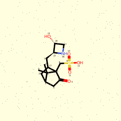 CC1(C)C2CC(=O)C1(CS(=O)(=O)O)C(C[C@@H]1NC[C@H]1O)C2